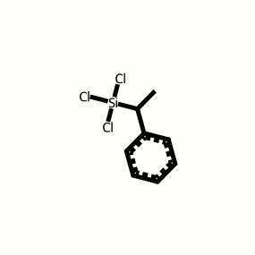 CC(c1ccccc1)[Si](Cl)(Cl)Cl